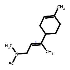 CC(=O)N(C)C/C=C(\C)C1CC=C(C)CC1